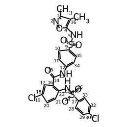 Cc1noc(NS(=O)(=O)c2ccc(NC(=O)c3cc(Cl)ccc3NS(=O)(=O)c3ccc(Cl)cc3)cc2)c1C